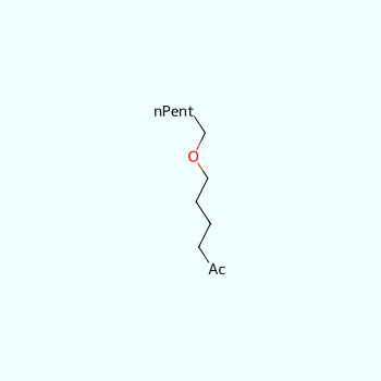 CCCCCCOCCCCC(C)=O